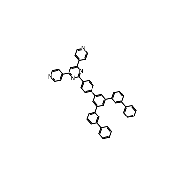 c1ccc(-c2cccc(-c3cc(-c4ccc(-c5nc(-c6ccncc6)cc(-c6ccncc6)n5)cc4)cc(-c4cccc(-c5ccccc5)c4)c3)c2)cc1